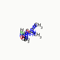 COc1cc(N2CCC(N3CCN(C)CC3)CC2)c(-c2cnn(C)c2)cc1Nc1ncc(Br)c(Nc2cnc3ccccc3c2P(C)(C)=O)n1